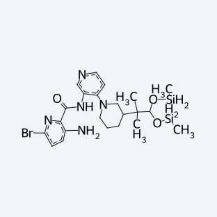 C[SiH2]OC(O[SiH2]C)C(C)(C)C1CCCN(c2ccncc2NC(=O)c2nc(Br)ccc2N)C1